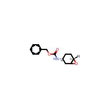 O=C(N[C@@H]1CC[C@@H]2OC2C1)OCc1ccccc1